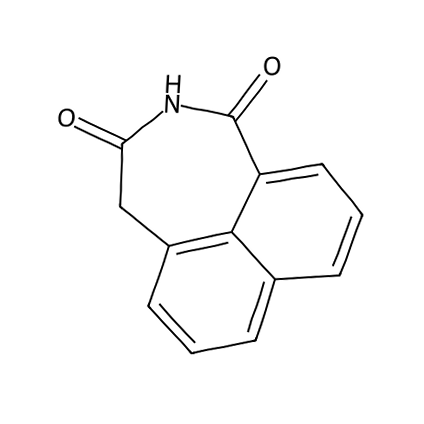 O=C1Cc2cccc3cccc(c23)C(=O)N1